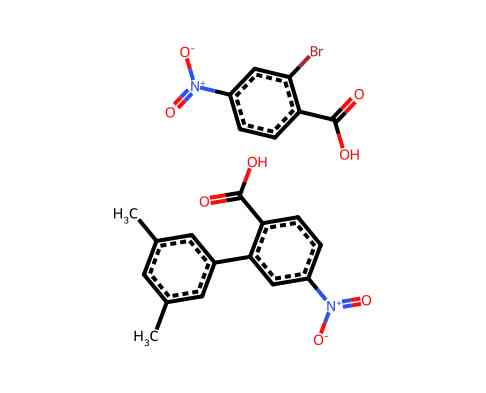 Cc1cc(C)cc(-c2cc([N+](=O)[O-])ccc2C(=O)O)c1.O=C(O)c1ccc([N+](=O)[O-])cc1Br